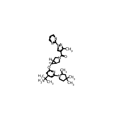 Cc1nn(-c2ncccn2)cc1C(=O)N1CC2[C@@H](C1)[C@@H]2Oc1cc(C(C)(C)N)cc(N2CCC(C)(C)CC2C)n1